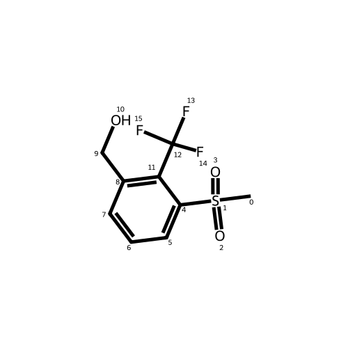 CS(=O)(=O)c1cccc(CO)c1C(F)(F)F